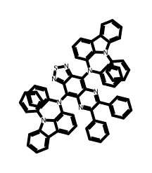 c1ccc(-c2nc3c(N(c4ccccc4)c4cccc5c6ccccc6n(-c6ccccc6)c45)c4nsnc4c(N(c4ccccc4)c4cccc5c6ccccc6n(-c6ccccc6)c45)c3nc2-c2ccccc2)cc1